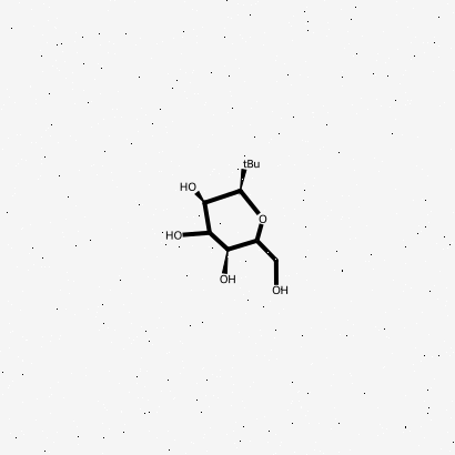 CC(C)(C)[C@H]1OC(CO)[C@@H](O)C(O)[C@H]1O